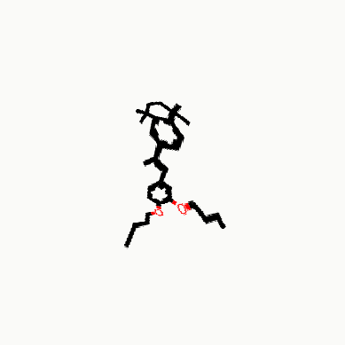 CCCCOc1ccc(/C=C(\C)c2ccc3c(c2)C(C)(C)CCC3(C)C)cc1OCCCC